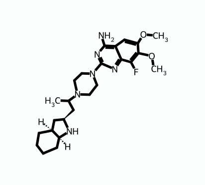 COc1cc2c(N)nc(N3CCN(C(C)C[C@@H]4C[C@@H]5CCCC[C@@H]5N4)CC3)nc2c(F)c1OC